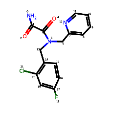 NC(=O)C(=O)N(Cc1ccccn1)Cc1ccc(F)cc1Cl